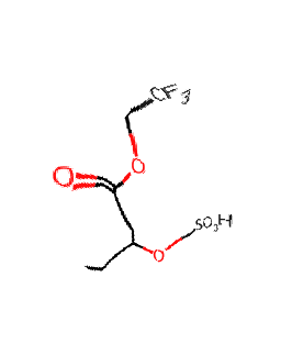 CC(OS(=O)(=O)O)C(=O)OCC(F)(F)F